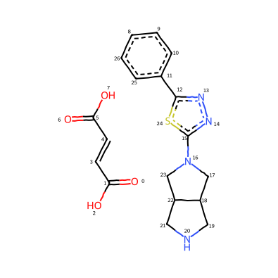 O=C(O)/C=C/C(=O)O.c1ccc(-c2nnc(N3CC4CNCC4C3)s2)cc1